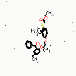 CCOC(=O)CSc1ccc(OCCC(C)Oc2ccc(CC)cc2C(=O)c2ccccc2)cc1C